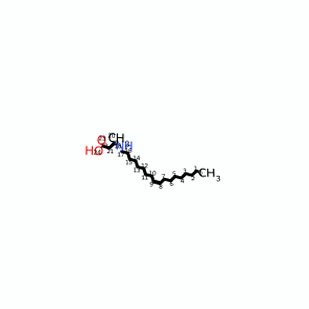 CCCCCCCC/C=C\CCCCCCCCNC(C)CC(=O)O